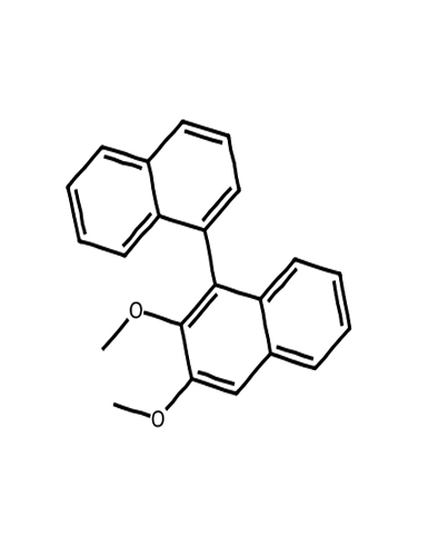 COc1cc2ccccc2c(-c2cccc3ccccc23)c1OC